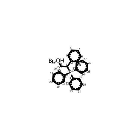 O=C(O)C(c1ccccc1)[P+](c1ccccc1)(c1ccccc1)c1ccccc1.[Br-]